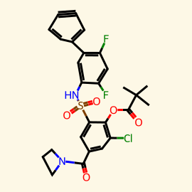 CC(C)(C)C(=O)Oc1c(Cl)cc(C(=O)N2CCC2)cc1S(=O)(=O)Nc1cc(-c2cc#ccc2)c(F)cc1F